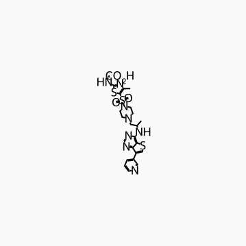 Cc1nc(NC(=O)O)sc1S(=O)(=O)N1CCN(CC(C)Nc2ncnc3c(-c4cccnc4)csc23)CC1